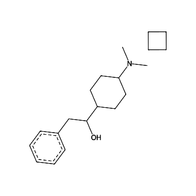 C1CCC1.CN(C)C1CCC(C(O)Cc2ccccc2)CC1